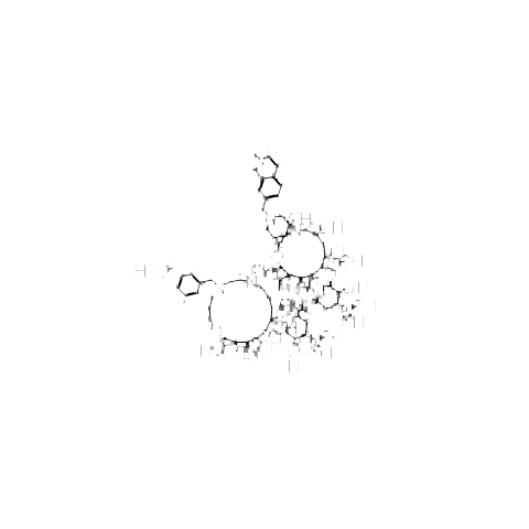 COc1cccc(CN2CCCOC(=O)C(C)(C)C(=O)[C@H](C)[C@@H](O[C@@H]3O[C@H](C)C[C@H](N(C)C)[C@H]3O)[C@](C)(OC)C[C@@H](CC[C@]3(C)C(=O)OCC4(CCN(Cc5ccc6ccncc6c5)CC4)N(C)C[C@H](C)C[C@@](C)(OC)[C@H](O[C@@H]4O[C@H](C)C[C@H](N(C)C)[C@H]4O)[C@@H](C)C3=O)CN(C)CC2)c1